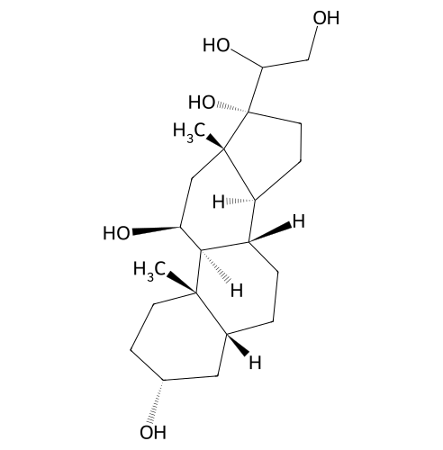 C[C@]12CC[C@@H](O)C[C@H]1CC[C@@H]1[C@@H]2[C@@H](O)C[C@@]2(C)[C@H]1CC[C@]2(O)C(O)CO